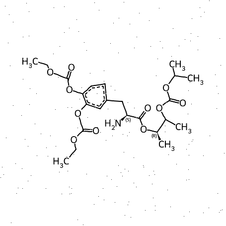 CCOC(=O)Oc1ccc(C[C@H](N)C(=O)O[C@H](C)C(C)OC(=O)OC(C)C)cc1OC(=O)OCC